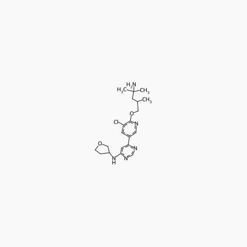 CC(COc1ncc(-c2cc(NC3CCOC3)ncn2)cc1Cl)CC(C)(C)N